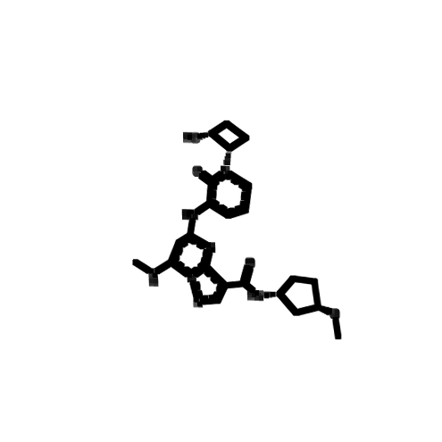 CNc1cc(Nc2cccn([C@H]3CC[C@H]3O)c2=O)nc2c(C(=O)N[C@@H]3CC[C@@H](OC)C3)cnn12